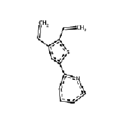 C=Cc1cc(-c2ccccn2)sc1C=C